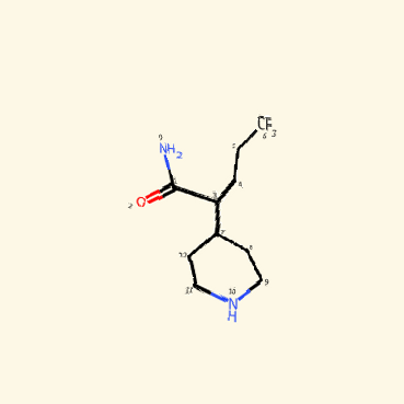 NC(=O)C(CCC(F)(F)F)C1CCNCC1